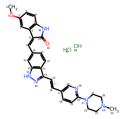 COc1ccc2c(c1)C(=Cc1ccc3c(/C=C/c4ccc(N5CCN(C)CC5)nc4)n[nH]c3c1)C(=O)N2.Cl.Cl